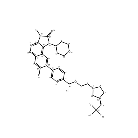 C[C@@H](OCCN1CC[C@@H](OC(F)(F)F)C1)c1ccc(-c2cc3c(cc2F)nnc2c3n(C3CCOCC3)c(=O)n2C)cn1